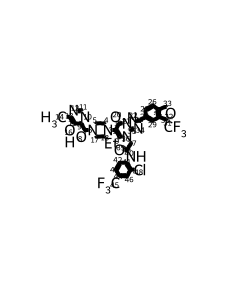 CCc1c(N2CCN(C(=O)c3ncnc(C)c3O)CC2)c(=O)n2nc(-c3ccc4c(c3)C(C(F)(F)F)OC4)nc2n1CC(=O)Nc1ccc(C(F)(F)F)cc1Cl